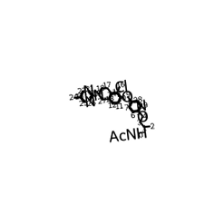 CC(=O)N[C@@H](C)COc1ccc(Oc2ccc3c(c2Cl)CCN(c2ncc(C)cn2)C3)cn1